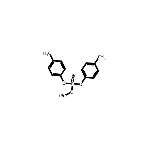 Cc1ccc(O[PH](Br)(Oc2ccc(C)cc2)OC(C)(C)C)cc1